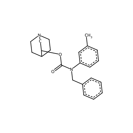 Cc1cccc(N(Cc2ccccc2)C(=O)OC2CN3CCC2CC3)c1